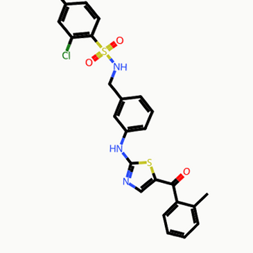 Cc1ccccc1C(=O)c1cnc(Nc2cccc(CNS(=O)(=O)c3ccc(C(F)(F)F)cc3Cl)c2)s1